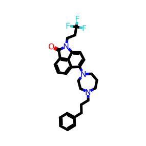 O=C1c2cccc3c(N4CCCN(CCCc5ccccc5)CC4)ccc(c23)N1CCC(F)(F)F